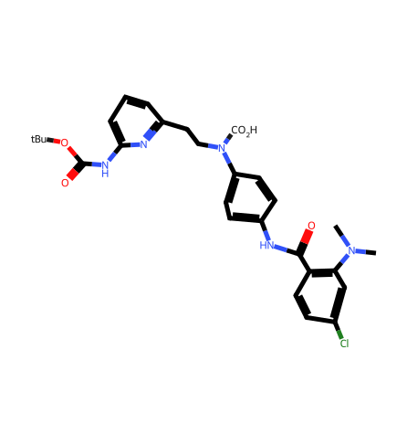 CN(C)c1cc(Cl)ccc1C(=O)Nc1ccc(N(CCc2cccc(NC(=O)OC(C)(C)C)n2)C(=O)O)cc1